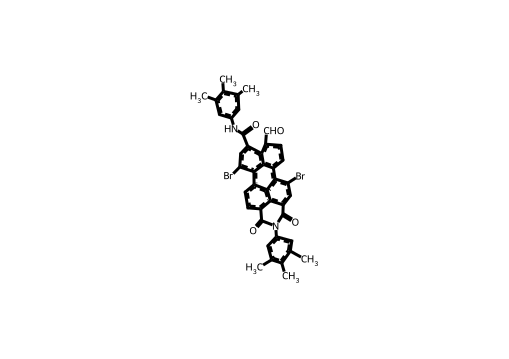 Cc1cc(NC(=O)c2cc(Br)c3c4ccc5c6c(cc(Br)c(c7ccc(C=O)c2c73)c64)C(=O)N(c2cc(C)c(C)c(C)c2)C5=O)cc(C)c1C